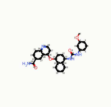 COc1cccc(NC(=O)Nc2ccc(Oc3ccnc4ccc(C(N)=O)cc34)c3ccccc23)c1